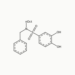 CCCCCCCCN(Cc1ccccc1)S(=O)(=O)c1ccc(O)c(O)c1